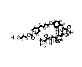 CCCCOC(=O)N1CCC(CCCCOc2ccc(C[C@H](NC(=O)[C@H](CS)NC(=O)CNC(=O)CN)C(=O)O)cc2)CC1